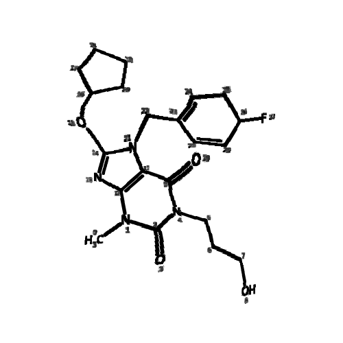 Cn1c(=O)n(CCCO)c(=O)c2c1nc(OC1CCCC1)n2CC1=CCC(F)C=C1